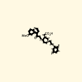 COc1ccc2nccc(C(=O)CC[C@@H]3CCN(CCSc4cc(F)ccc4F)C[C@@H]3CC(=O)O)c2c1